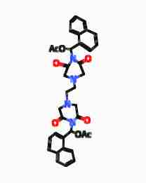 CC(=O)OC(c1cccc2ccccc12)N1C(=O)CN(CCN2CC(=O)N(C(OC(C)=O)c3cccc4ccccc34)C(=O)C2)CC1=O